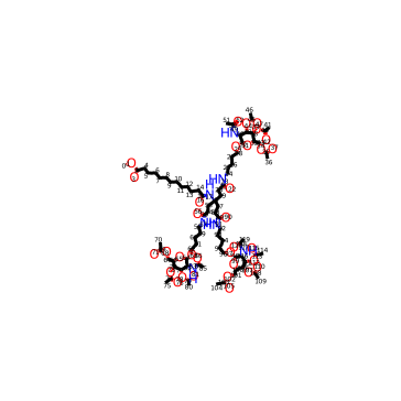 COC(=O)CCCCCCCCCCCC(=O)NC(CCC(=O)NCCCCCO[C@@H]1OC(COC(C)=O)[C@H](OC(C)=O)C(OC(C)=O)C1NC(C)=O)(CCC(=O)NCCCCCO[C@@H]1OC(COC(C)=O)[C@H](OC(C)=O)C(OC(C)=O)C1NC(C)=O)CCC(=O)NCCCCCO[C@@H]1OC(COC(C)=O)[C@H](OC(C)=O)C(OC(C)=O)C1NC(C)=O